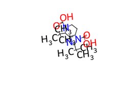 CC(C)(C)c1nc2c(n1C(=O)O)CCN(C(=O)O)C2C(C)(C)C